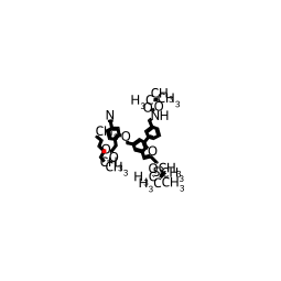 CCCCCCC.CCOC(=O)Cc1ccc(C#N)cc1OCc1cc(-c2cccc(CNC(=O)OC(C)(C)C)c2)c2oc(CO[Si](C)(C)C(C)(C)C)cc2c1